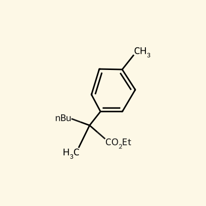 CCCCC(C)(C(=O)OCC)c1ccc(C)cc1